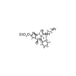 CCOC(=O)c1cc2n(n1)CC(C)(C(=O)NCCC(C)C)N(c1ccccc1C)C2=O